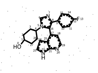 OC1CCC(n2cnc(-c3ccc(F)cc3)c2-c2ccnc3[nH]ccc23)CC1